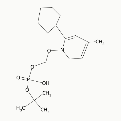 CC1=CCN(OCOP(=O)(O)OC(C)(C)C)C(C2CCCCC2)=C1